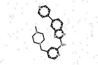 CN1CCN(Cc2ccnc(Nc3nc4ccc(-c5ccncc5)cc4s3)c2)CC1